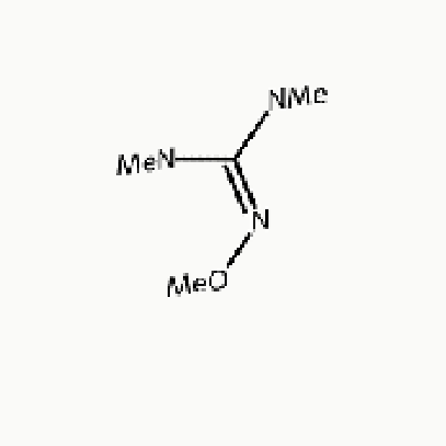 CNC(=NOC)NC